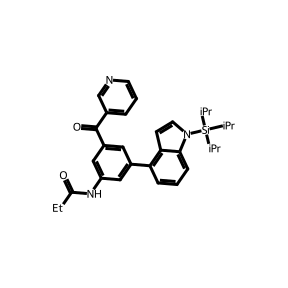 CCC(=O)Nc1cc(C(=O)c2cccnc2)cc(-c2cccc3c2ccn3[Si](C(C)C)(C(C)C)C(C)C)c1